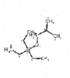 CC[Si](CC)(CC)O[SiH2]C(C)C